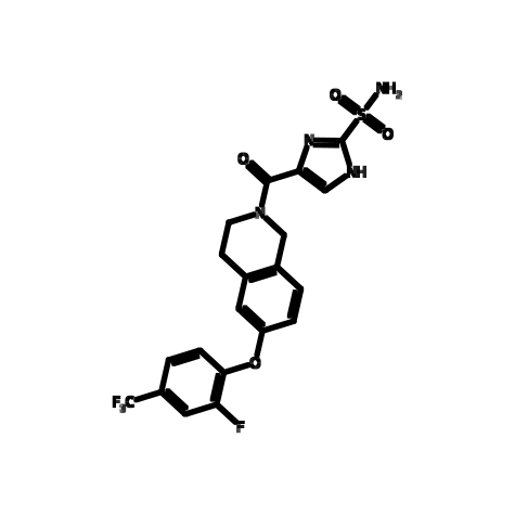 NS(=O)(=O)c1nc(C(=O)N2CCc3cc(Oc4ccc(C(F)(F)F)cc4F)ccc3C2)c[nH]1